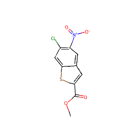 COC(=O)c1cc2cc([N+](=O)[O-])c(Cl)cc2s1